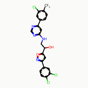 OC(CNc1cc(-c2ccc(C(F)(F)F)c(Cl)c2)ncn1)c1cc(-c2ccc(Cl)c(Cl)c2)no1